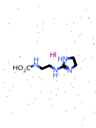 I.O=C(O)NCCNC1=NCCN1